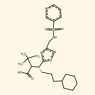 CC(C)(C)C(C(=O)O)[C@@H](CCCC1CCCCC1)c1nc(CNS(=O)(=O)c2cccnc2)no1